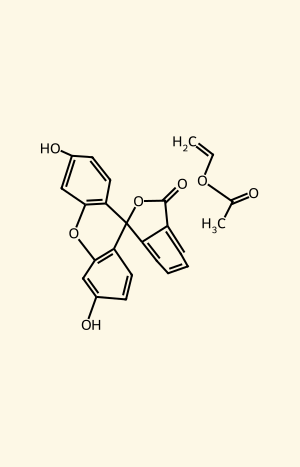 C=COC(C)=O.O=C1OC2(c3ccc(O)cc3Oc3cc(O)ccc32)c2ccccc21